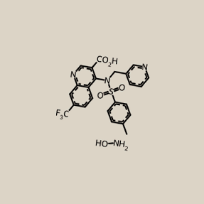 Cc1ccc(S(=O)(=O)N(Cc2cccnc2)c2c(C(=O)O)cnc3cc(C(F)(F)F)ccc23)cc1.NO